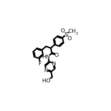 CS(=O)(=O)c1ccc(C(Cc2cccc(F)c2)C(=O)Nc2cnc(CO)cn2)cc1